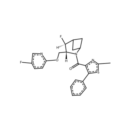 Cc1nc(C(=O)N2C3CC(C3)[C@H](F)[C@H]2COc2ccc(F)cn2)c(-c2ccccc2)s1